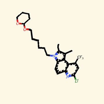 Cc1c(C)n(CCCCCCOC2CCCCO2)c2ccc3nc(Cl)cc(C(F)(F)F)c3c12